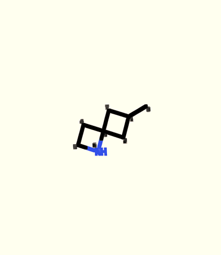 CC1CC2(CCN2)C1